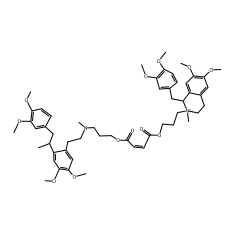 COc1ccc(CC(C)c2cc(OC)c(OC)cc2CCN(C)CCCOC(=O)/C=C\C(=O)OCCC[N+]2(C)CCc3cc(OC)c(OC)cc3C2Cc2ccc(OC)c(OC)c2)cc1OC